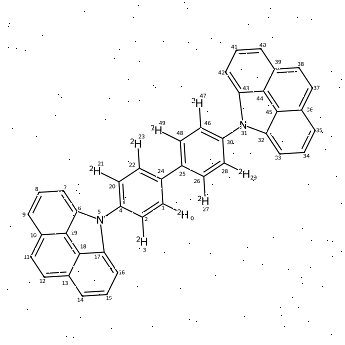 [2H]c1c([2H])c(-n2c3cccc4ccc5cccc2c5c43)c([2H])c([2H])c1-c1c([2H])c([2H])c(-n2c3cccc4ccc5cccc2c5c43)c([2H])c1[2H]